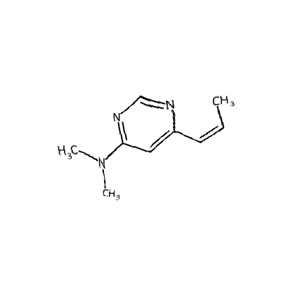 C/C=C\c1cc(N(C)C)ncn1